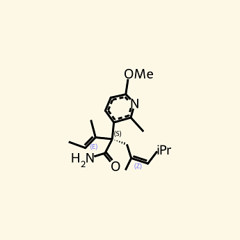 C/C=C(\C)[C@](C/C(C)=C\C(C)C)(C(N)=O)c1ccc(OC)nc1C